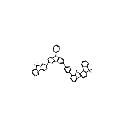 CC1(C)c2ccccc2-c2ccc(-c3ccc4c(c3)c3cc(-c5ccc(-c6cccc7c6sc6c8c(ccc67)C(C)(C)c6ccccc6-8)cc5)ccc3n4-c3ccccc3)cc21